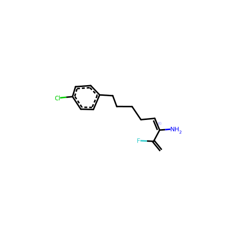 C=C(F)/C(N)=C\CCCCc1ccc(Cl)cc1